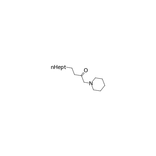 CCCCCCCCCC(=O)CN1CCCCC1